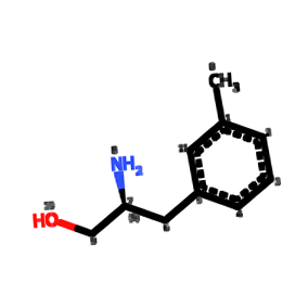 Cc1cccc(C[C@H](N)CO)c1